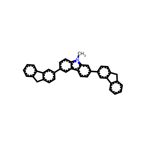 Cn1c2ccc(-c3ccc4c(c3)-c3ccccc3C4)cc2c2ccc(-c3ccc4c(c3)-c3ccccc3C4)cc21